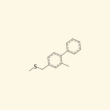 CSCc1ccc(-c2ccccc2)c(C)c1